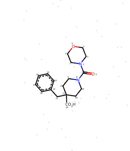 O=C(N1CCOCC1)N1CCC(Cc2ccccc2)(C(=O)O)CC1